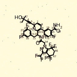 CC(C)(O)C#Cc1ccc(-c2ccc(F)c(C(N)=O)c2)c(C(Cc2cc(F)cc(F)c2)NC(=O)Cn2nc(C(F)F)c3c2C(F)(F)CCC3(F)F)n1